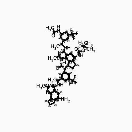 CC(=O)Nc1cc([C@@H](C)Nc2nc(C)nc3c4c(c(NC(=O)OC(C)(C)C)cc23)CCC4N(C(C)=O)c2cc([C@@H](C)Nc3nc(C)nc4c5c(c(N)cc34)CCC5)cc(C(F)(F)F)c2)cc(C(F)(F)F)c1